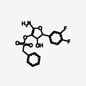 NC1=C(OS(=O)(=O)Cc2ccccc2)C(O)C(c2ccc(F)c(F)c2)O1